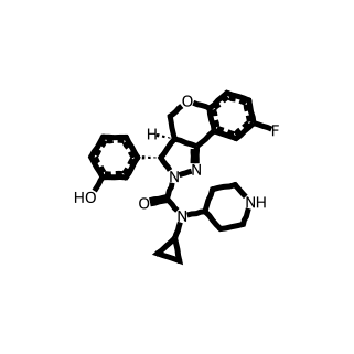 O=C(N(C1CCNCC1)C1CC1)N1N=C2c3cc(F)ccc3OC[C@@H]2[C@H]1c1cccc(O)c1